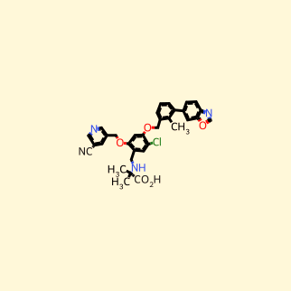 Cc1c(COc2cc(OCc3cncc(C#N)c3)c(CNC(C)(C)C(=O)O)cc2Cl)cccc1-c1ccc2ncoc2c1